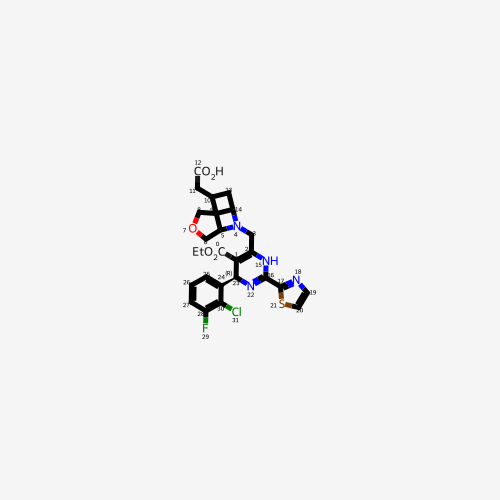 CCOC(=O)C1=C(CN2C3COCC34C(CC(=O)O)CC24)NC(c2nccs2)=N[C@H]1c1cccc(F)c1Cl